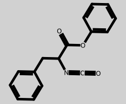 O=C=NC(Cc1ccccc1)C(=O)Oc1ccccc1